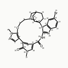 Cn1ncc2c1OCCN1CC3CCC(CC3)(C1)n1c(nc3ccc(Br)cc31)NC(=O)c1cc-2c(=O)n(C)c1